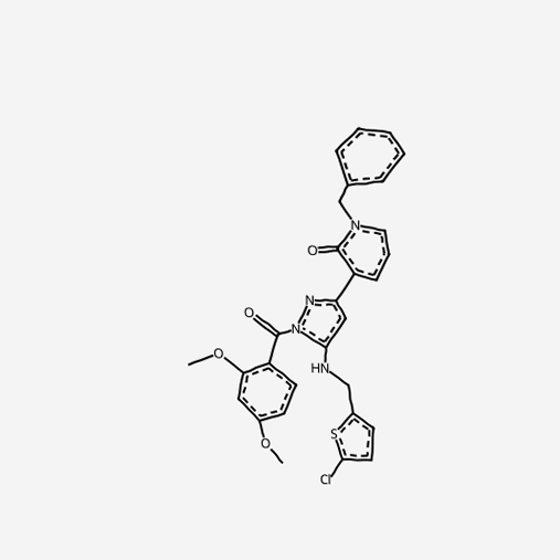 COc1ccc(C(=O)n2nc(-c3cccn(Cc4ccccc4)c3=O)cc2NCc2ccc(Cl)s2)c(OC)c1